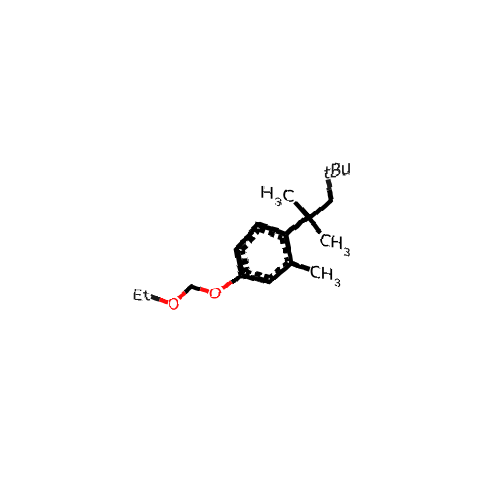 [CH2]COCOc1ccc(C(C)(C)CC(C)(C)C)c(C)c1